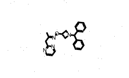 CC(Cc1ncccn1)=NOC1CN(C(c2ccccc2)c2ccccc2)C1